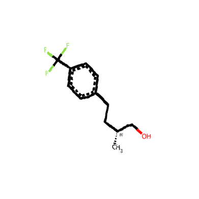 C[C@@H](CO)CCc1ccc(C(F)(F)F)cc1